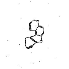 c1ccc2c(c#1)oc1ccc3ccccc3c12